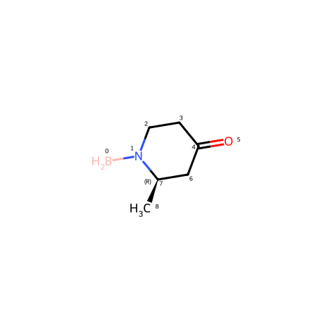 BN1CCC(=O)C[C@H]1C